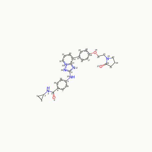 O=C(NC1CC1)c1ccc(Nc2nc3c(-c4ccc(OCCN5CCCC5=O)cc4)cccn3n2)cc1